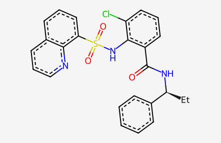 CC[C@H](NC(=O)c1cccc(Cl)c1NS(=O)(=O)c1cccc2cccnc12)c1ccccc1